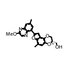 COc1cnc2c(-c3cc4c5c(cc(C)c4o3)O[C@@H](CO)CO5)cc(C)cc2n1